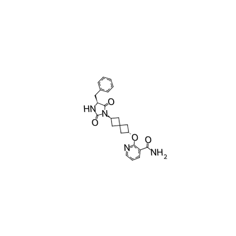 NC(=O)c1cccnc1O[C@H]1CC2(C1)C[C@H](N1C(=O)N[C@@H](Cc3ccccc3)C1=O)C2